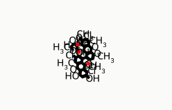 COc1cc(OC)c(-c2c(O)c(Cl)c(C)c3c2C(O)c2c(Cl)c(O)cc(O)c2C3=O)c2c1C(=O)c1c(C)c(Cl)c(OC)c(C)c1C2OC1OC(C)C(O)C1O